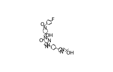 CC(C)(O)Cn1cc(-c2ccc(-n3ncc4c(=O)n(CC5(O)CCN(C(=O)c6ccc(F)cc6)CC5)cnc43)cc2)cn1